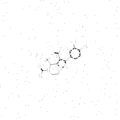 CC(C)(C)C1c2c(C(N)=O)c(-c3ccc(Cl)c(Cl)c3)nn2CCN1C(N)=O